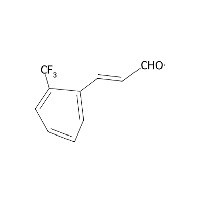 O=[C]C=Cc1ccccc1C(F)(F)F